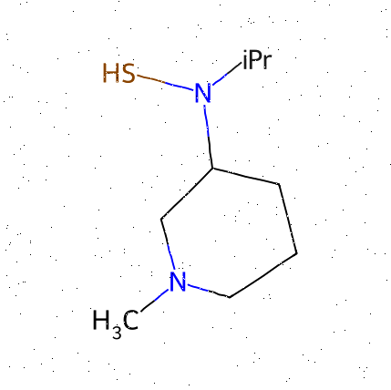 CC(C)N(S)C1CCCN(C)C1